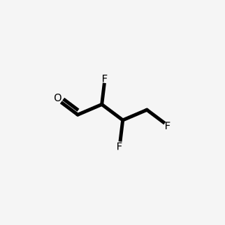 O=CC(F)C(F)CF